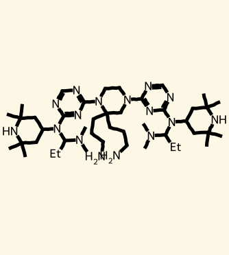 CCC(N(C)C)N(c1ncnc(N2CCN(c3ncnc(N(C4CC(C)(C)NC(C)(C)C4)C(CC)N(C)C)n3)C(CCCN)(CCCN)C2)n1)C1CC(C)(C)NC(C)(C)C1